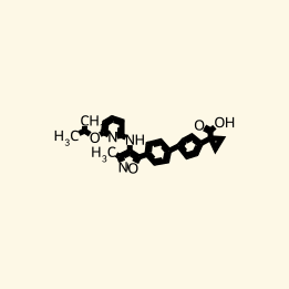 Cc1noc(-c2ccc(-c3ccc(C4(C(=O)O)CC4)cc3)cc2)c1Nc1cccc(OC(C)C)n1